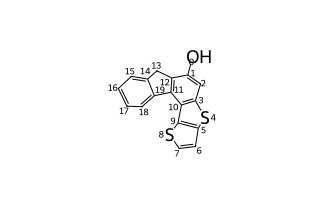 Oc1cc2sc3ccsc3c2c2c1Cc1ccccc1-2